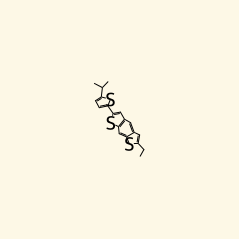 CCc1cc2cc3cc(-c4ccc(C(C)C)s4)sc3cc2s1